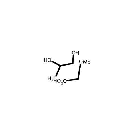 CC(O)CO.COCC(=O)O